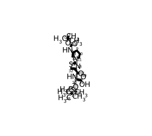 CC(C)(C)OC(=O)N[C@@H]1CCCN(c2nc(C(=O)N[C@@H](CO[Si](C)(C)C(C)(C)C)C(=O)O)cs2)C1